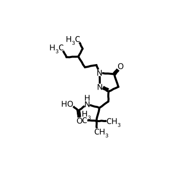 CCC(CC)CCN1N=C(CC(NC(=O)O)C(C)(C)C)CC1=O